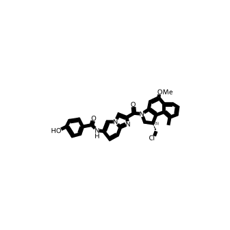 COc1cc2c(c3c(C)cccc13)[C@H](CCl)CN2C(=O)c1cn2cc(NC(=O)c3ccc(O)cc3)ccc2n1